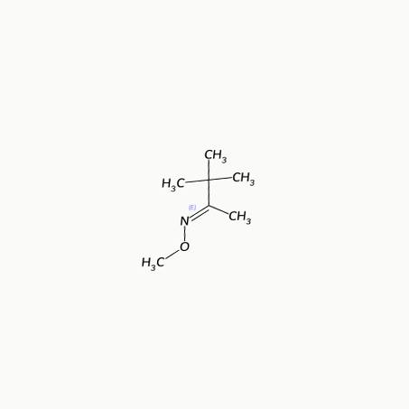 CO/N=C(\C)C(C)(C)C